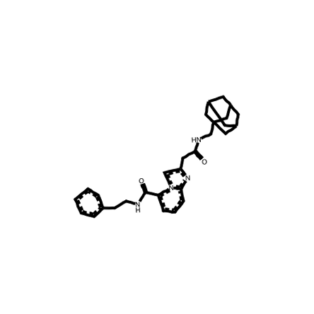 O=C(Cc1cn2c(C(=O)NCCc3ccccc3)cccc2n1)NCC12CC3CC(CC(C3)C1)C2